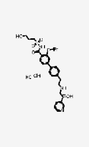 CC(C)Oc1cc(-c2ccc(CCNC[C@H](O)c3cccnc3)cc2)ccc1C(=O)NS(=O)(=O)CCCO.Cl.Cl